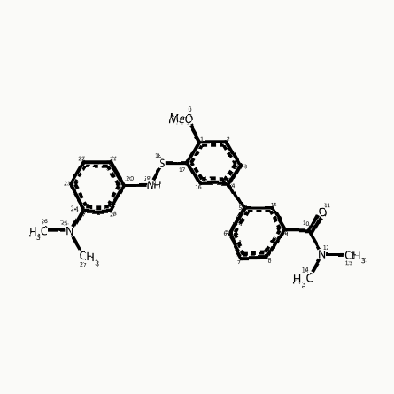 COc1ccc(-c2cccc(C(=O)N(C)C)c2)cc1SNc1cccc(N(C)C)c1